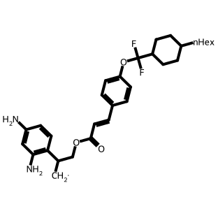 [CH2]C(COC(=O)/C=C/c1ccc(OC(F)(F)C2CCC(CCCCCC)CC2)cc1)c1ccc(N)cc1N